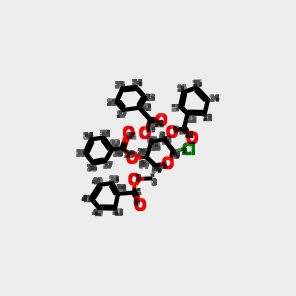 O=C(OC[C@H]1O[C@@H](Cl)[C@@H](OC(=O)c2ccccc2)[C@@H](OC(=O)c2ccccc2)[C@@H]1OC(=O)c1ccccc1)c1ccccc1